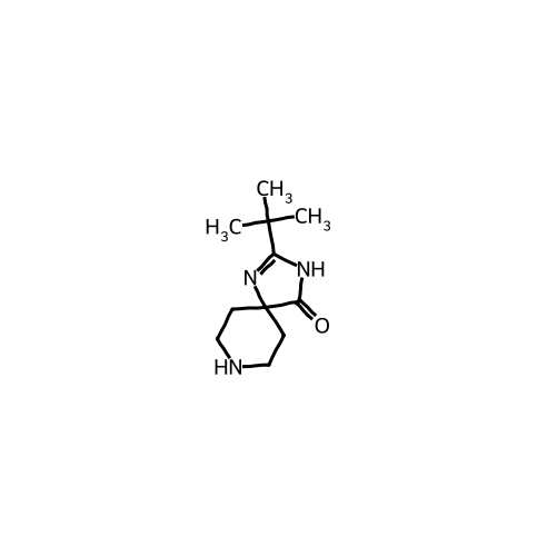 CC(C)(C)C1=NC2(CCNCC2)C(=O)N1